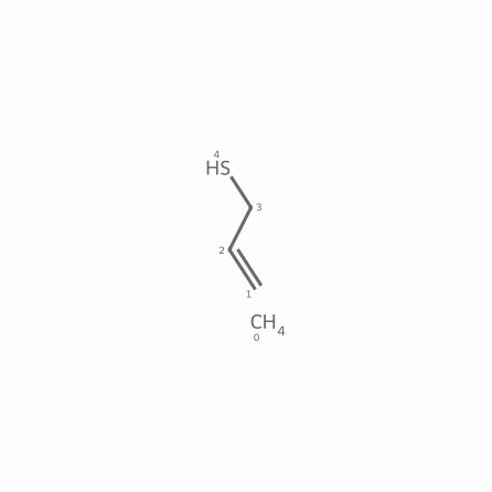 C.C=CCS